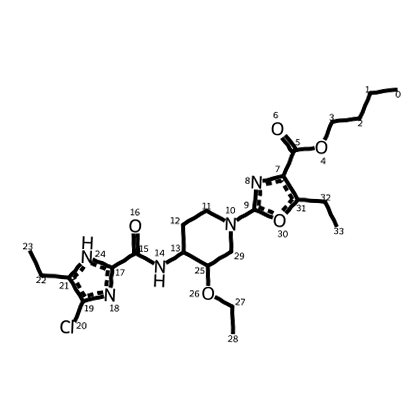 CCCCOC(=O)c1nc(N2CCC(NC(=O)c3nc(Cl)c(CC)[nH]3)C(OCC)C2)oc1CC